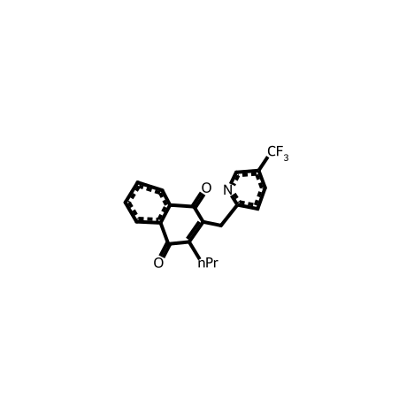 CCCC1=C(Cc2ccc(C(F)(F)F)cn2)C(=O)c2ccccc2C1=O